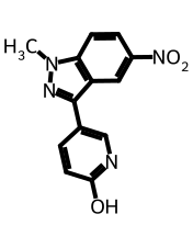 Cn1nc(-c2ccc(O)nc2)c2cc([N+](=O)[O-])ccc21